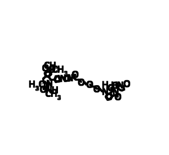 CNC(=O)N1N=C(c2ccc(N3CCN(C(=O)CCOCCOCCOCCNc4cccc5c4C(=O)N(C4CCC(=O)NC4=O)C5=O)CC3)cc2)c2cc(OC)c(OC)cc2C[C@H]1C